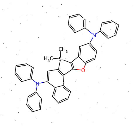 C[Si]1(C)c2cc(N(c3ccccc3)c3ccccc3)c3ccccc3c2-c2oc3ccc(N(c4ccccc4)c4ccccc4)cc3c21